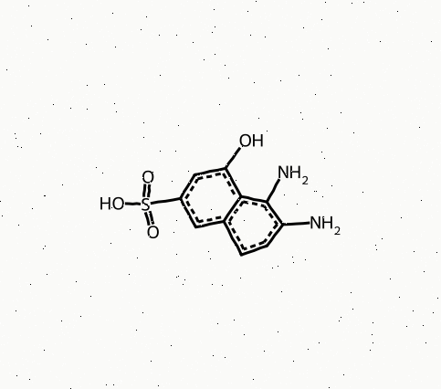 Nc1ccc2cc(S(=O)(=O)O)cc(O)c2c1N